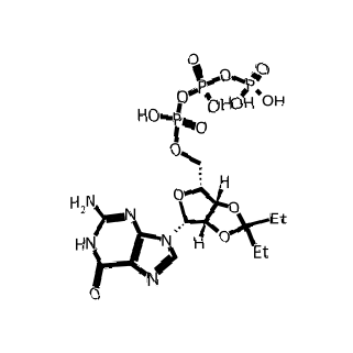 CCC1(CC)O[C@@H]2[C@H](O1)[C@H](n1cnc3c(=O)[nH]c(N)nc31)O[C@@H]2COP(=O)(O)OP(=O)(O)OP(=O)(O)O